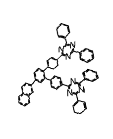 C1=CC(c2nc(C3=CC=C(c4ccc(-c5ccc6ccccc6c5)cc4-c4ccc(-c5nc(C6=CCCC=C6)nc(-c6ccccc6)n5)cc4)CC3)nc(-c3ccccc3)n2)=CCC1